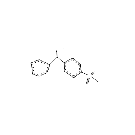 CS(=O)(=O)c1ccc(C(C=O)c2cccnc2)cc1